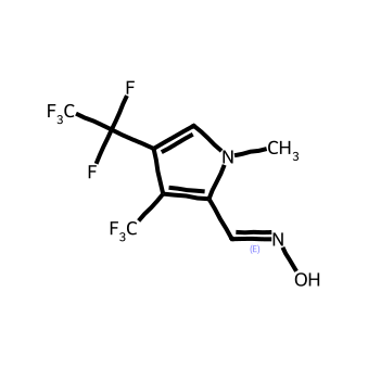 Cn1cc(C(F)(F)C(F)(F)F)c(C(F)(F)F)c1/C=N/O